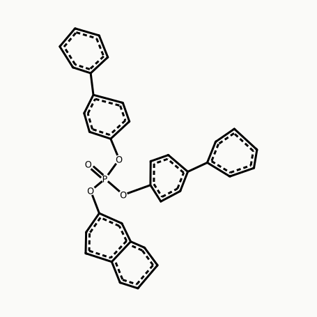 O=P(Oc1ccc(-c2ccccc2)cc1)(Oc1ccc(-c2ccccc2)cc1)Oc1ccc2ccccc2c1